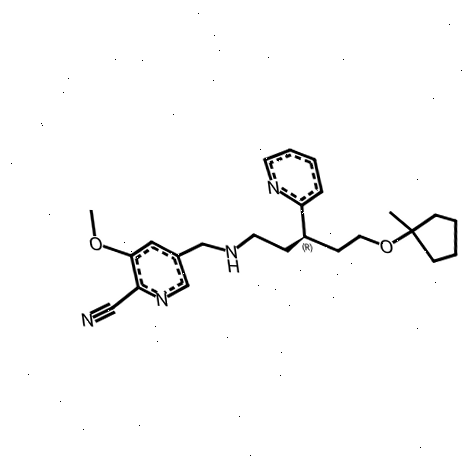 COc1cc(CNCC[C@H](CCOC2(C)CCCC2)c2ccccn2)cnc1C#N